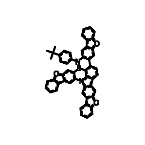 CC(C)(C)c1ccc(N2B3c4cc5oc6ccccc6c5cc4-n4c5cc6c(cc5c5ccc(c3c54)-c3cc4oc5ccccc5c4cc32)oc2ccccc26)cc1